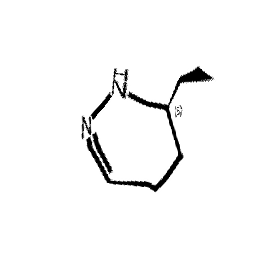 C[C@H]1CCC=NN1